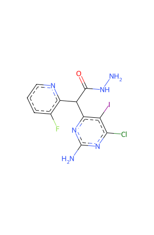 NNC(=O)C(c1ncccc1F)c1nc(N)nc(Cl)c1I